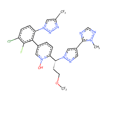 Cn1ncnc1-c1cnn([C@H](CCOC(F)(F)F)c2ccc(-c3c(-n4cc(C(F)(F)F)nn4)ccc(Cl)c3F)c[n+]2O)c1